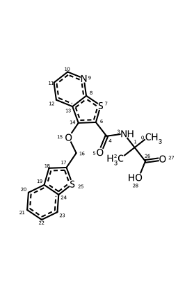 CC(C)(NC(=O)c1sc2ncccc2c1OCc1cc2ccccc2s1)C(=O)O